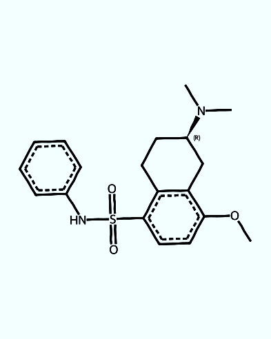 COc1ccc(S(=O)(=O)Nc2ccccc2)c2c1C[C@H](N(C)C)CC2